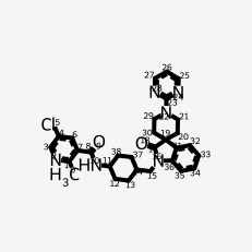 Cc1ncc(Cl)cc1C(=O)NC1CCC(CN2C(=O)C3(CCN(c4ncccn4)CC3)c3ccccc32)CC1